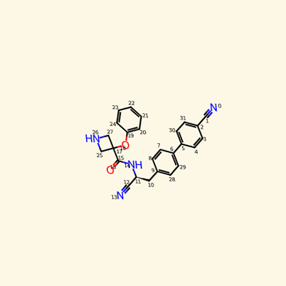 N#Cc1ccc(-c2ccc(C[C@@H](C#N)NC(=O)C3(Oc4ccccc4)CNC3)cc2)cc1